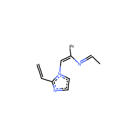 C=Cc1nccn1/C=C(\N=C\C)C(C)C